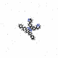 c1ccc(-c2ccc(-c3ccc(-c4ccc(-c5ccccc5)cc4)c4nc(-c5ccc(-c6cccnc6)cc5)c(-c5ccc(-c6cccnc6)cc5)nc34)cc2)cc1